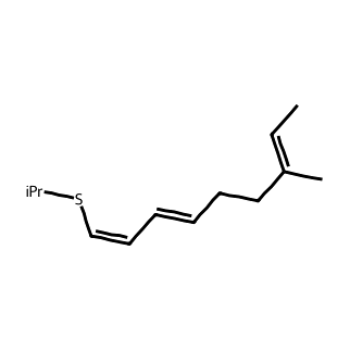 CC=C(C)CC/C=C/C=C\SC(C)C